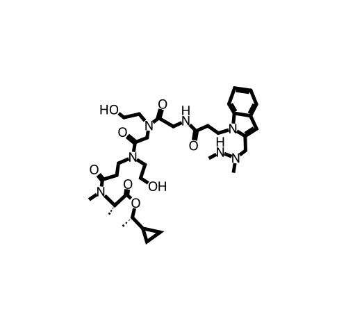 CNN(C)Cc1cc2ccccc2n1CCC(=O)NCC(=O)N(CCO)CC(=O)N(CCO)CCC(=O)N(C)[C@@H](C)C(=O)O[C@@H](C)C1CC1